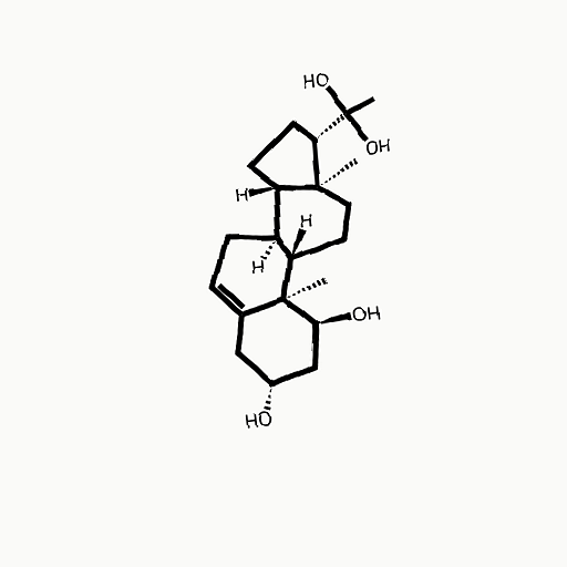 CC(O)(O)[C@H]1CC[C@H]2[C@@H]3CC=C4C[C@@H](O)C[C@H](O)[C@]4(C)[C@H]3CC[C@]12C